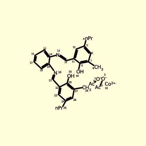 CC(=O)[O-].CC(=O)[O-].CCCc1cc(C)c(O)c(C=Nc2ccccc2N=Cc2cc(CCC)cc(C)c2O)c1.[Co+2]